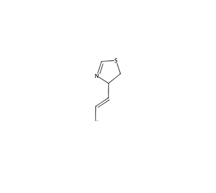 [CH2]C=CC1CSC=N1